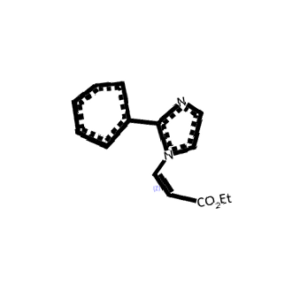 CCOC(=O)/C=C\n1ccnc1-c1ccccc1